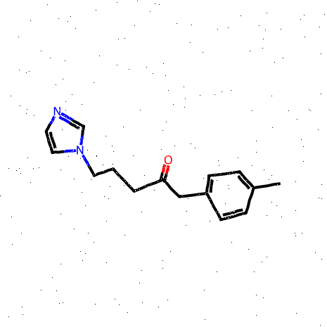 Cc1ccc(CC(=O)CCCn2ccnc2)cc1